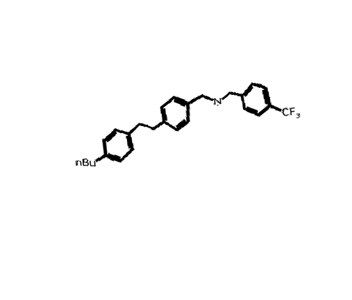 CCCCc1ccc(CCc2ccc(C[N]Cc3ccc(C(F)(F)F)cc3)cc2)cc1